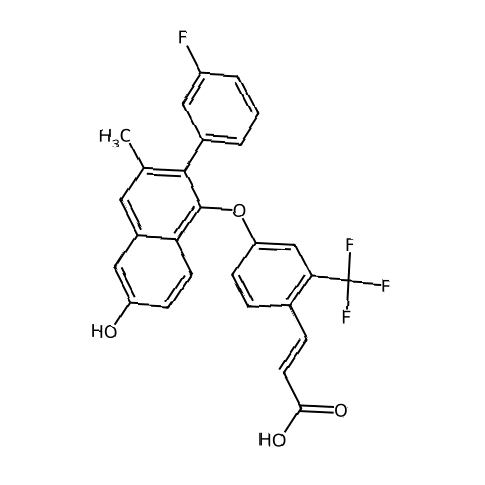 Cc1cc2cc(O)ccc2c(Oc2ccc(C=CC(=O)O)c(C(F)(F)F)c2)c1-c1cccc(F)c1